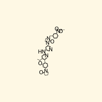 CC1Oc2cc(N3CCCC3=O)ccc2-c2cnc(Nc3cncc(N4CCN(Cc5cccc([N+](=O)[O-])c5)C4=O)c3)cc21